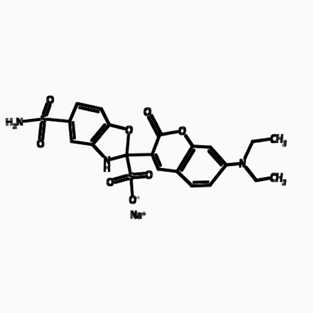 CCN(CC)c1ccc2cc(C3(S(=O)(=O)[O-])Nc4cc(S(N)(=O)=O)ccc4O3)c(=O)oc2c1.[Na+]